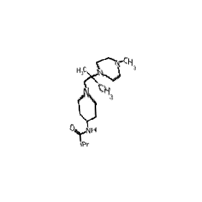 CC(C)C(=O)NC1CCN(CC(C)(C)N2CCN(C)CC2)CC1